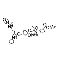 COC(=O)c1cccc(-c2nc(COc3ccc(COc4nn(-c5ccccc5)cc4C=Cc4nc(N5CCOCC5)sc4C)cc3OC)c(C)o2)c1